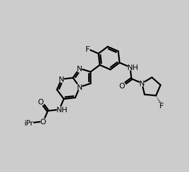 CC(C)OC(=O)Nc1cnc2nc(-c3cc(NC(=O)N4CC[C@H](F)C4)ccc3F)cn2c1